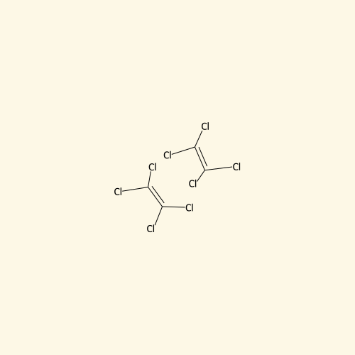 ClC(Cl)=C(Cl)Cl.ClC(Cl)=C(Cl)Cl